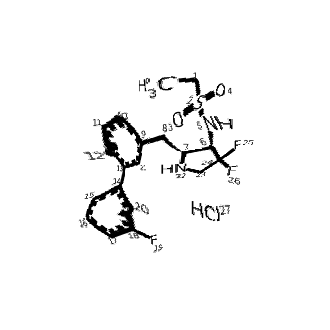 CCS(=O)(=O)N[C@@H]1[C@H](Cc2cccc(-c3cccc(F)c3)c2)NCC1(F)F.Cl